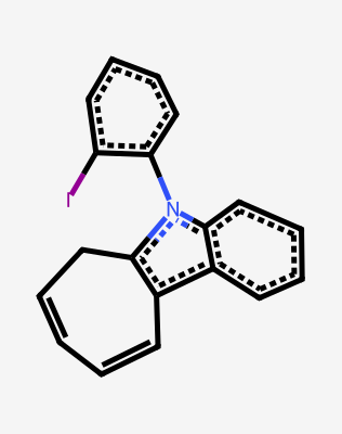 Ic1ccccc1-n1c2c(c3ccccc31)C=CC=CC2